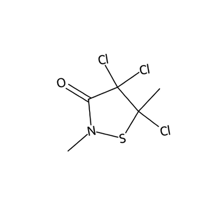 CN1SC(C)(Cl)C(Cl)(Cl)C1=O